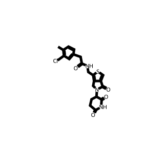 Cc1ccc(CC(=O)NCc2scc3c2CN(C2CCC(=O)NC2=O)C3=O)cc1Cl